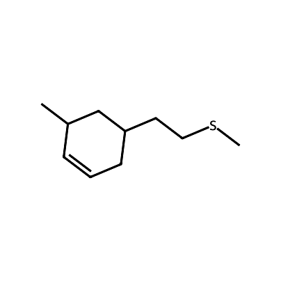 CSCCC1CC=CC(C)C1